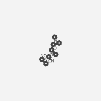 N#Cc1cc(-n2c3ccccc3c3c4oc5c(ccc6c5c5ccccc5n6-c5ccccc5)c4ccc32)cc(C#N)c1-n1c2ccccc2c2ccccc21